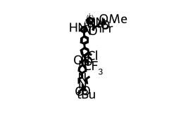 COC(=O)NC(C(=O)N1C[C@@H](C)C[C@H]1c1nc(-c2ccc(-c3ccc(N(OC(F)(F)F)C(=O)N4CCC(N5CCN(C(=O)OC(C)(C)C)CC5C)CC4)c(Cl)c3)cc2)c[nH]1)C(C)C